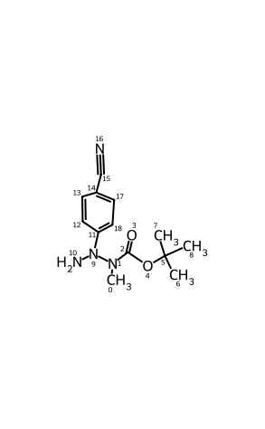 CN(C(=O)OC(C)(C)C)N(N)c1ccc(C#N)cc1